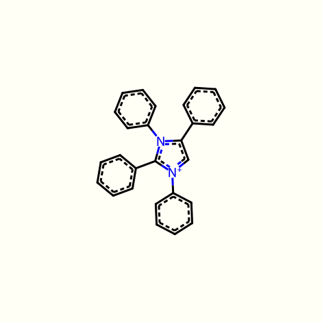 c1ccc(-c2c[n+](-c3ccccc3)c(-c3ccccc3)n2-c2ccccc2)cc1